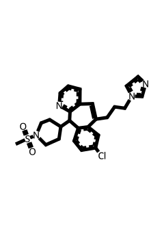 CS(=O)(=O)N1CCC(C2c3ccc(Cl)cc3C(CCCn3ccnc3)=Cc3cccnc32)CC1